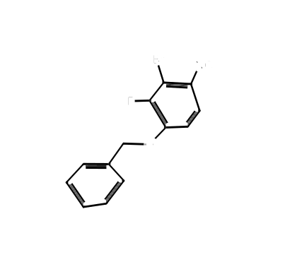 O=[N+]([O-])c1ccc(OCc2ccccc2)c(F)c1Br